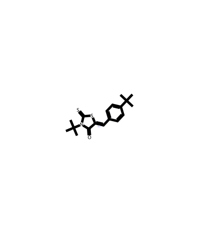 CC(C)(C)c1ccc(/C=C2\SC(=S)N(C(C)(C)C)C2=O)cc1